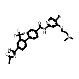 Cc1nc(-c2ccc(-c3ccc(C(=O)Nc4cc(OCCN(C)C)c(Br)cn4)cc3)c(C(F)(F)F)c2)no1